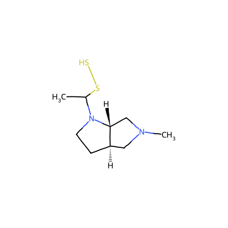 CC(SS)N1CC[C@@H]2CN(C)C[C@H]21